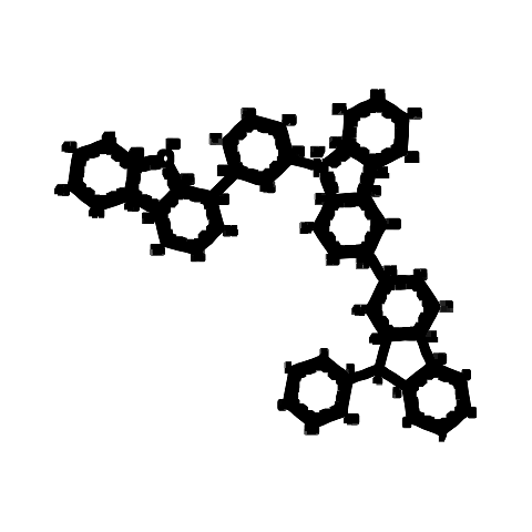 c1ccc(C2c3ccccc3-c3ccc(-c4ccc5c(c4)c4ccccc4n5-c4cccc(-c5cccc6c5oc5ccccc56)c4)cc32)cc1